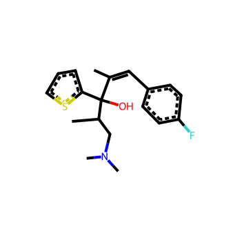 CC(=Cc1ccc(F)cc1)C(O)(c1cccs1)C(C)CN(C)C